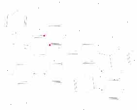 c1ccc(-c2cccc(N(c3ccccc3)c3ccc4c(c3)C(c3ccccc3)(c3ccccc3)c3ccccc3-4)c2-c2ccc3c(c2)sc2ccccc23)cc1